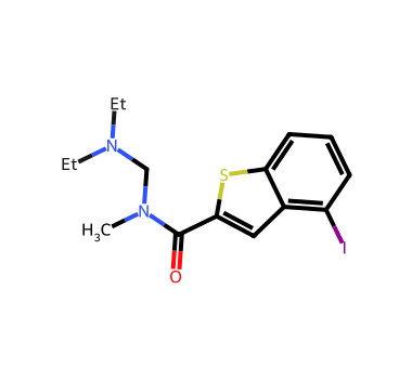 CCN(CC)CN(C)C(=O)c1cc2c(I)cccc2s1